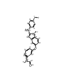 CCc1ccc(Nc2nc3cc(Oc4ccnc(N(C)C=O)c4)ccc3n2C)cc1